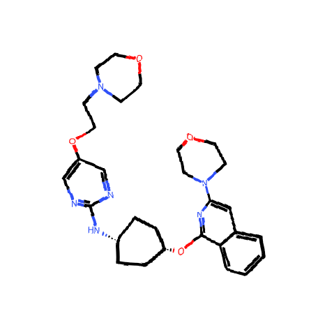 c1ccc2c(O[C@H]3CC[C@@H](Nc4ncc(OCCN5CCOCC5)cn4)CC3)nc(N3CCOCC3)cc2c1